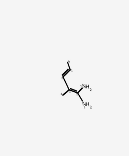 CC=CC(C)=C(N)N